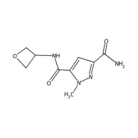 Cn1nc(C(N)=O)[c]c1C(=O)NC1COC1